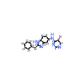 Ic1cncnc1Nc1ccc2[nH]c(Cc3ccccc3)nc2c1